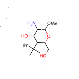 COC1OC(CO)C(C(C)(C)C(C)C)C(O)C1N